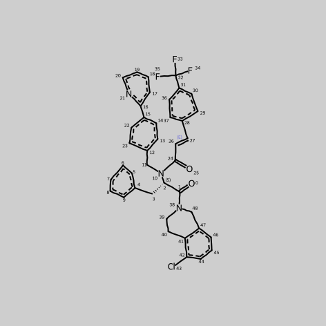 O=C([C@H](Cc1ccccc1)N(Cc1ccc(-c2ccccn2)cc1)C(=O)/C=C/c1ccc(C(F)(F)F)cc1)N1CCc2c(Cl)cccc2C1